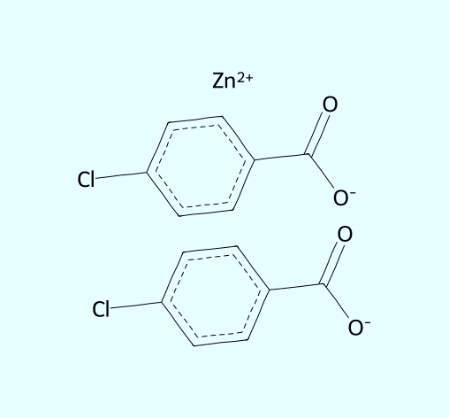 O=C([O-])c1ccc(Cl)cc1.O=C([O-])c1ccc(Cl)cc1.[Zn+2]